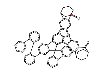 O=C1c2cc3c(cc2C2CCC1CC2)c1cc2c(c4c5cc6c(cc5n3c14)C(=O)C1CCC6CC1)C1(c3ccccc3-c3ccccc31)c1cc3c(cc1-2)C1(c2ccccc2-c2ccccc21)c1ccccc1-3